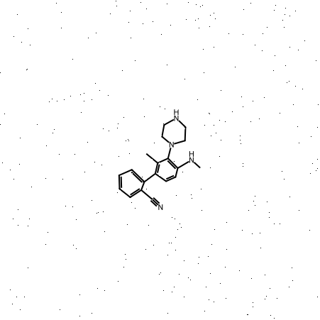 CNc1ccc(-c2ccccc2C#N)c(C)c1N1CCNCC1